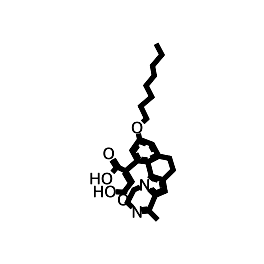 CCCCCCCCOc1cc2c(c(C(=CC(=O)O)C(=O)O)c1)-c1c(cc3n1CCN=C3C)CC2